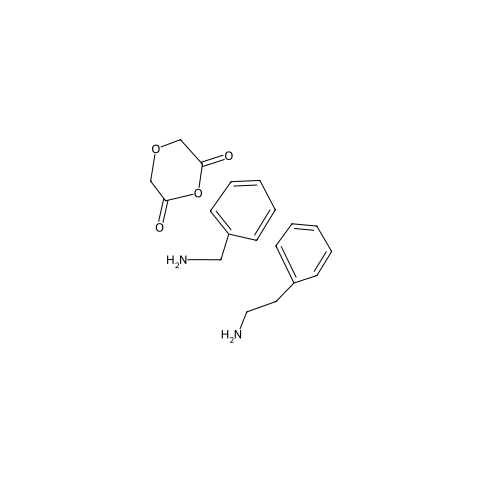 NCCc1ccccc1.NCc1ccccc1.O=C1COCC(=O)O1